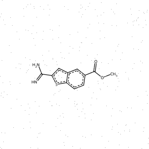 COC(=O)c1ccc2sc(C(=N)N)cc2c1